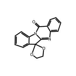 O=c1c2ccccc2nc2n1-c1ccccc1C21OCCO1